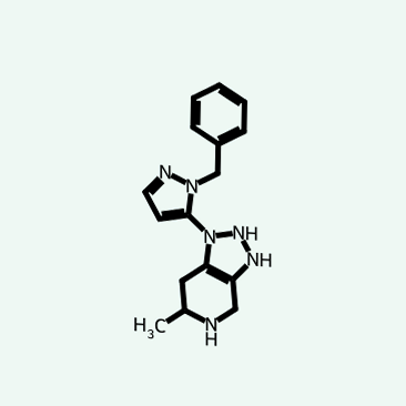 CC1CC2=C(CN1)NNN2c1ccnn1Cc1ccccc1